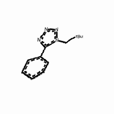 CC(C)(C)Cn1nnnc1-c1ccccc1